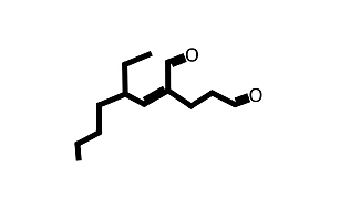 CCCCC(C=C(C=O)CCC=O)CC